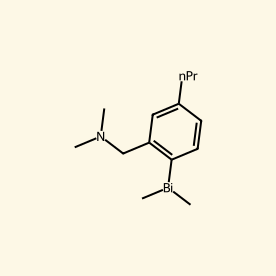 CCCc1cc[c]([Bi]([CH3])[CH3])c(CN(C)C)c1